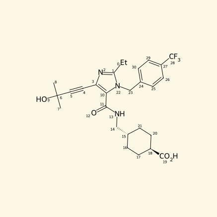 CCc1nc(C#CC(C)(C)O)c(C(=O)NC[C@H]2CC[C@H](C(=O)O)CC2)n1Cc1ccc(C(F)(F)F)cc1